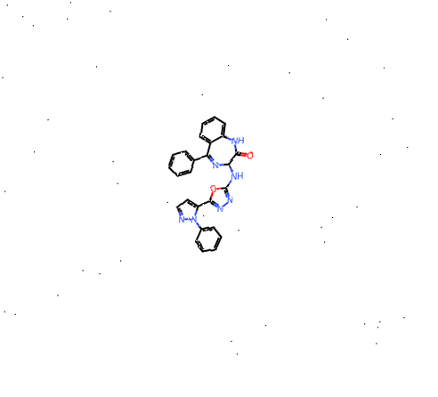 O=C1Nc2ccccc2C(c2ccccc2)=N[C@@H]1Nc1nnc(-c2ccnn2-c2ccccc2)o1